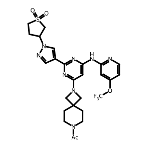 CC(=O)N1CCC2(CC1)CN(c1cc(Nc3cc(OC(F)(F)F)ccn3)nc(-c3cnn(C4CCS(=O)(=O)C4)c3)n1)C2